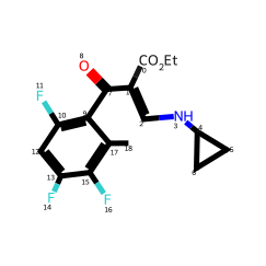 CCOC(=O)C(=CNC1CC1)C(=O)c1c(F)cc(F)c(F)c1C